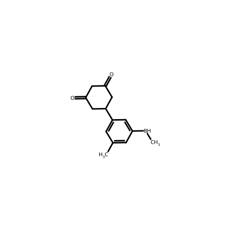 CBc1cc(C)cc(C2CC(=O)CC(=O)C2)c1